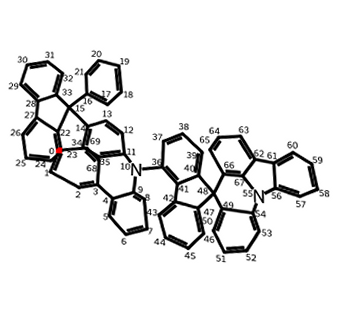 c1ccc(-c2ccccc2N(c2ccc(C3(c4ccccc4)c4ccccc4-c4ccccc43)cc2)c2cccc3c2-c2ccccc2C32c3ccccc3-n3c4ccccc4c4cccc2c43)cc1